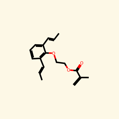 C=C(C)C(=O)OCCOc1c(C=CC)cccc1C=CC